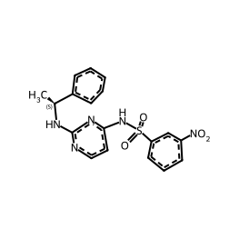 C[C@H](Nc1nccc(NS(=O)(=O)c2cccc([N+](=O)[O-])c2)n1)c1ccccc1